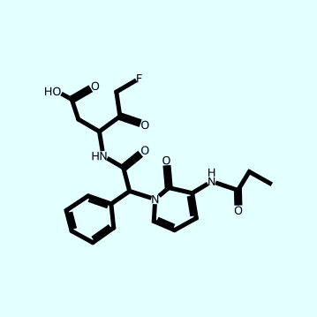 CCC(=O)Nc1cccn(C(C(=O)NC(CC(=O)O)C(=O)CF)c2ccccc2)c1=O